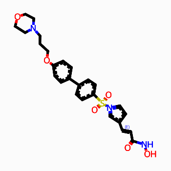 O=C(/C=C/c1ccn(S(=O)(=O)c2ccc(-c3ccc(OCCCN4CCOCC4)cc3)cc2)c1)NO